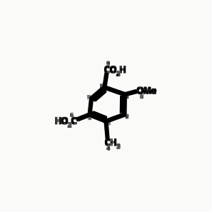 COc1cc(C)c(C(=O)O)cc1C(=O)O